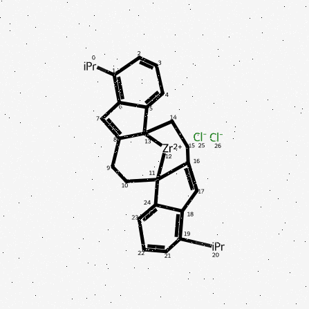 CC(C)c1cccc2c1C=C1CC[C]34[Zr+2][C]12CCC3=Cc1c(C(C)C)cccc14.[Cl-].[Cl-]